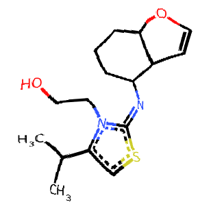 CC(C)c1csc(=NC2CCCC3OC=CC23)n1CCO